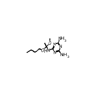 CCCCOC(C)(Nc1nc(N)nc(N)n1)OC